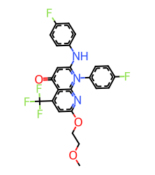 COCCOc1cc(C(F)(F)F)c2c(=O)cc(Nc3ccc(F)cc3)n(-c3ccc(F)cc3)c2n1